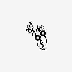 CCOCC(COc1ccc(NC(=O)C[S+](C)C)cc1)OC(C)=O.Cc1ccc(S(=O)(=O)[O-])cc1